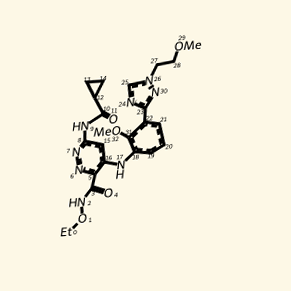 CCONC(=O)c1nnc(NC(=O)C2CC2)cc1Nc1cccc(-c2ncn(CCOC)n2)c1OC